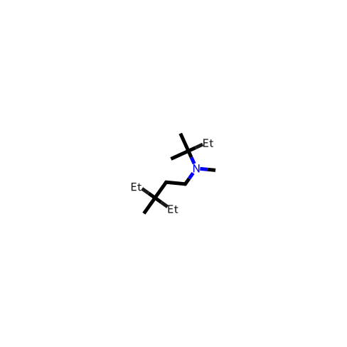 CCC(C)(CC)CCN(C)C(C)(C)CC